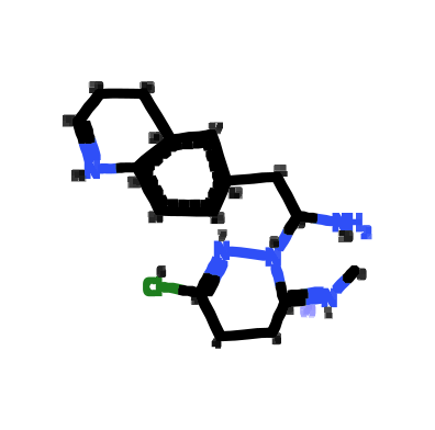 C/N=C1/CCC(Cl)=NN1C(N)Cc1ccc2c(c1)CCC=N2